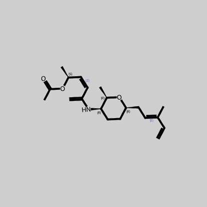 C=C/C(C)=C/C[C@H]1CC[C@@H](NC(=C)/C=C\[C@H](C)OC(C)=O)[C@@H](C)O1